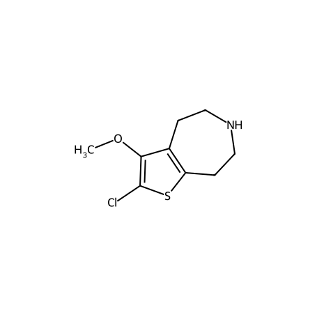 COc1c(Cl)sc2c1CCNCC2